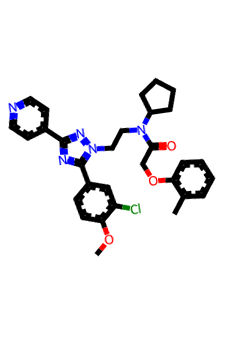 COc1ccc(-c2nc(-c3ccncc3)nn2CCN(C(=O)COc2ccccc2C)C2CCCC2)cc1Cl